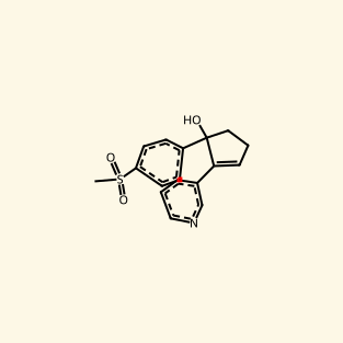 CS(=O)(=O)c1ccc(C2(O)CCC=C2c2cccnc2)cc1